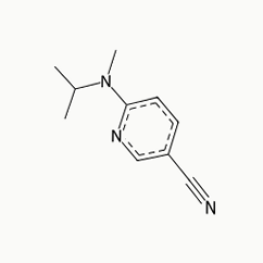 CC(C)N(C)c1ccc(C#N)cn1